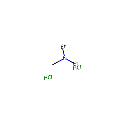 CCN(C)CC.Cl.Cl